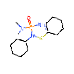 CN(C)P(N)(=O)N(SC1CCCCC1)C1CCCCC1